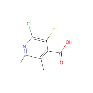 Cc1nc(Cl)c(F)c(C(=O)O)c1C